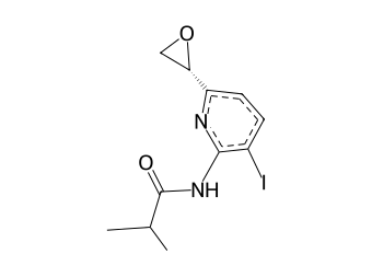 CC(C)C(=O)Nc1nc([C@@H]2CO2)ccc1I